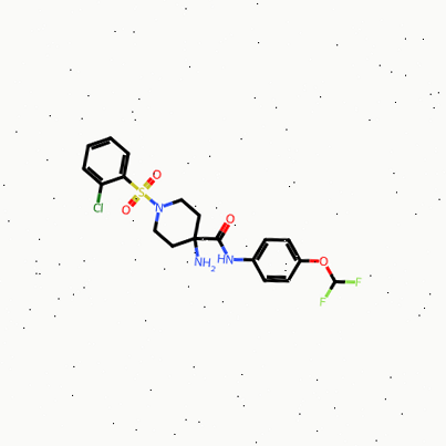 NC1(C(=O)Nc2ccc(OC(F)F)cc2)CCN(S(=O)(=O)c2ccccc2Cl)CC1